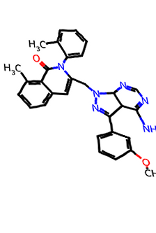 COc1cccc(C2=NN(Cc3cc4cccc(C)c4c(=O)n3-c3ccccc3C)C3N=CN=C(N)C23)c1